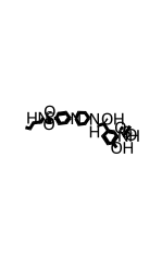 CCCCNS(=O)(=O)c1ccc(N2CCC(NC[C@@H](O)c3ccc(O)c(NS(C)(=O)=O)c3)CC2)cc1